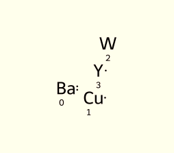 [Ba].[Cu].[W].[Y]